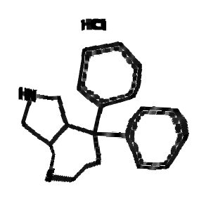 Cl.c1ccc(C2(c3ccccc3)CCSC3CNCC32)cc1